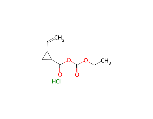 C=CC1CC1C(=O)OC(=O)OCC.Cl